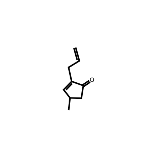 C=CCC1=CC(C)CC1=O